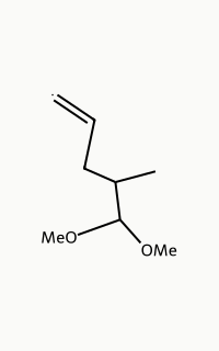 [CH]=CCC(C)C(OC)OC